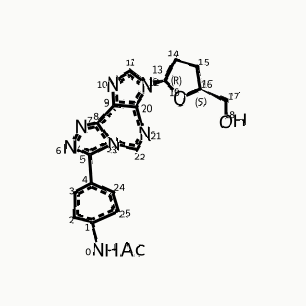 CC(=O)Nc1ccc(-c2nnc3c4ncn([C@H]5CC[C@@H](CO)O5)c4ncn23)cc1